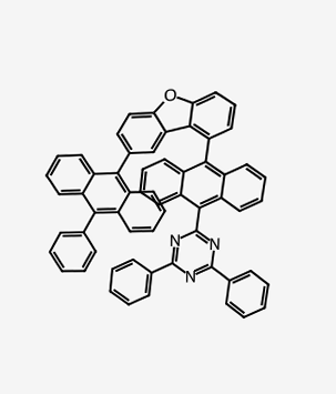 c1ccc(-c2nc(-c3ccccc3)nc(-c3c4ccccc4c(-c4cccc5oc6ccc(-c7c8ccccc8c(-c8ccccc8)c8ccccc78)cc6c45)c4ccccc34)n2)cc1